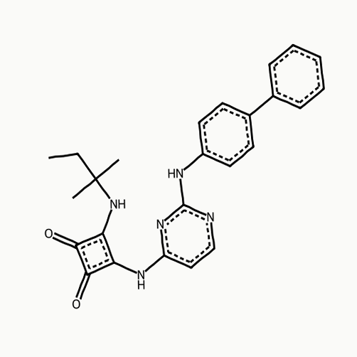 CCC(C)(C)Nc1c(Nc2ccnc(Nc3ccc(-c4ccccc4)cc3)n2)c(=O)c1=O